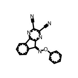 N#Cc1nc2c(nc1C#N)-c1ccccc1/C2=N/Oc1ccccc1